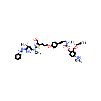 C#CCOCc1cc(NC)ccc1COC(=O)N(C)CC#Cc1ccc(OCCCc2sc(N(C)c3cc(C)c(Nc4nc5ccccc5s4)nn3)nc2C=O)c(F)c1